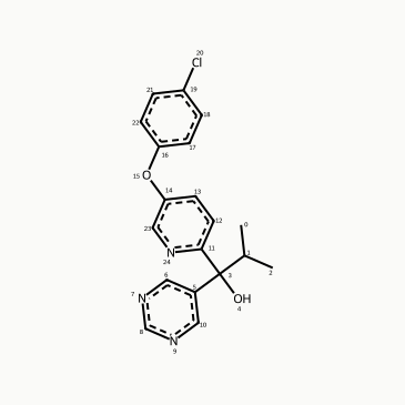 CC(C)C(O)(c1cncnc1)c1ccc(Oc2ccc(Cl)cc2)cn1